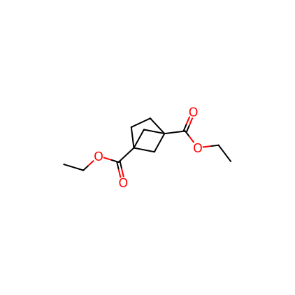 CCOC(=O)C12CCC(C(=O)OCC)(C1)C2